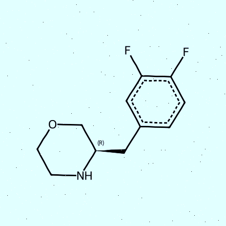 Fc1ccc(C[C@@H]2COCCN2)cc1F